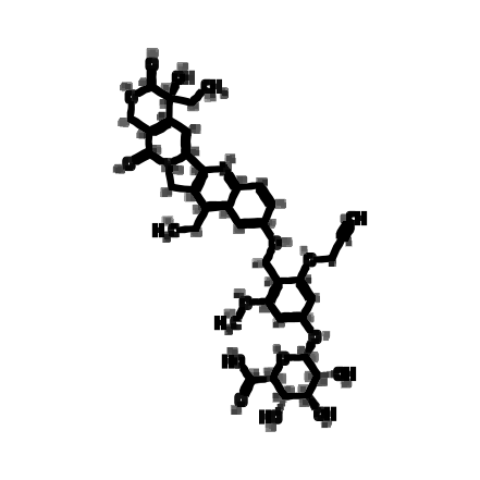 C#CCOc1cc(O[C@@H]2O[C@H](C(=O)O)[C@@H](O)[C@H](O)[C@H]2O)cc(OC)c1COc1ccc2nc3c(c(CC)c2c1)Cn1c-3cc2c(c1=O)COC(=O)[C@]2(O)CC